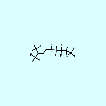 FC(F)(F)C(CCC(F)(F)C(F)(F)C(F)(F)C1(F)OC1(F)F)C(F)(F)F